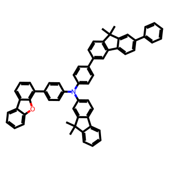 CC1(C)c2ccc(-c3ccc(N(c4ccc(-c5cccc6c5oc5ccccc56)cc4)c4ccc5c(c4)C(C)(C)c4ccccc4-5)cc3)cc2-c2ccc(-c3ccccc3)cc21